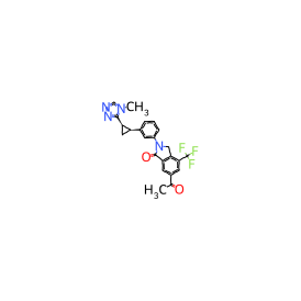 CC(=O)c1cc2c(c(C(F)(F)F)c1)CN(c1cccc([C@H]3C[C@H]3c3nncn3C)c1)C2=O